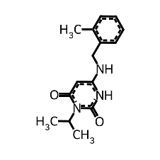 Cc1ccccc1CNc1cc(=O)n(C(C)C)c(=O)[nH]1